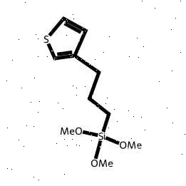 CO[Si](CCCc1ccsc1)(OC)OC